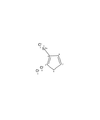 [Cl-].[Cl-].[Cl-].[Ti+3][C]1=CCC=C1